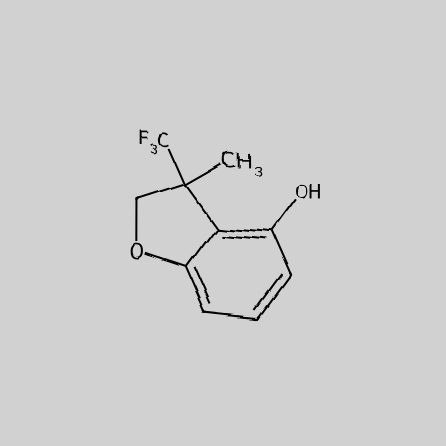 CC1(C(F)(F)F)COc2cccc(O)c21